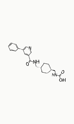 O=C(O)NC[C@H]1CC[C@H](CNC(=O)c2cncc(-c3ccccc3)c2)CC1